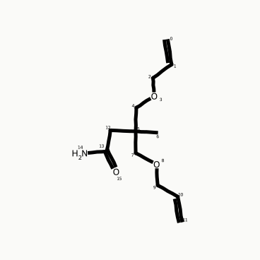 C=CCOCC(C)(COCC=C)CC(N)=O